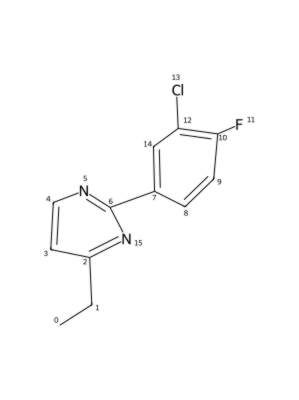 CCc1ccnc(-c2ccc(F)c(Cl)c2)n1